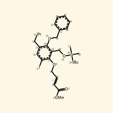 COC(=O)/C=C/COc1c(I)cc(CC(C)C)c(OCc2ccccc2)c1CO[Si](C)(C)C(C)(C)C